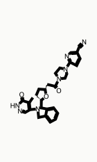 Cc1c(N2Cc3ccccc3[C@@H]2[C@@H]2CC[C@H](CC(=O)N3CCN(c4ccc(C#N)cn4)CC3)O2)cn[nH]c1=O